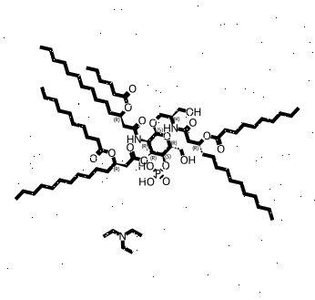 CCCCCCCCCCC[C@H](CC(=O)N[C@H](CO)CO[C@H]1O[C@H](CO)[C@@H](OP(=O)(O)O)[C@H](OC(=O)C[C@@H](CCCCCCCCCCC)OC(=O)CCCCCCCCC)[C@H]1NC(=O)C[C@@H](CCCCCCCCCCC)OC(=O)CCCCC)OC(=O)CCCCCCCCC.CCN(CC)CC